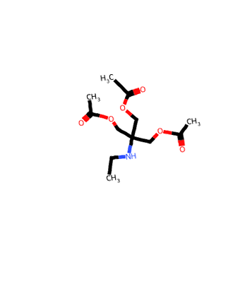 CCNC(COC(C)=O)(COC(C)=O)COC(C)=O